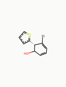 CCC1=CC=CC(O)[C@@H]1c1cccs1